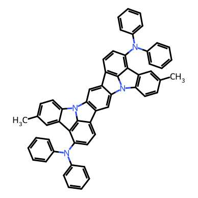 Cc1ccc2c(c1)c1c(N(c3ccccc3)c3ccccc3)ccc3c4cc5c(cc4n2c31)c1ccc(N(c2ccccc2)c2ccccc2)c2c3cc(C)ccc3n5c12